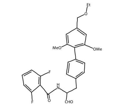 CCOCc1cc(OC)c(-c2ccc(CC(C=O)NC(=O)c3c(F)cccc3F)cc2)c(OC)c1